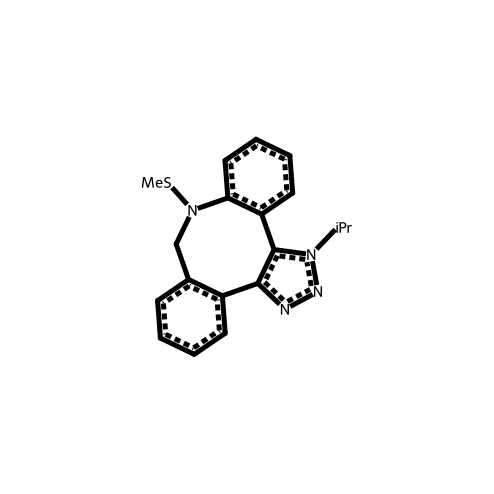 CSN1Cc2ccccc2-c2nnn(C(C)C)c2-c2ccccc21